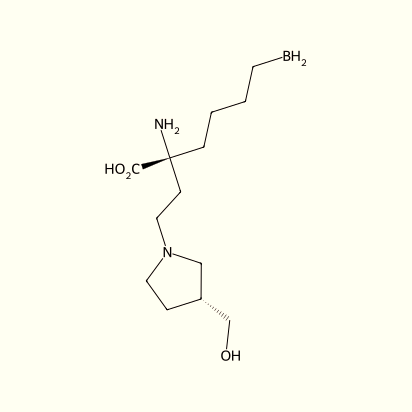 BCCCC[C@@](N)(CCN1CC[C@@H](CO)C1)C(=O)O